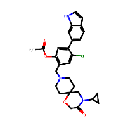 O=C1COC2(CCN(Cc3cc(Cl)c(-c4ccc5cc[nH]c5c4)cc3OC(=O)C(F)(F)F)CC2)CN1C1CC1